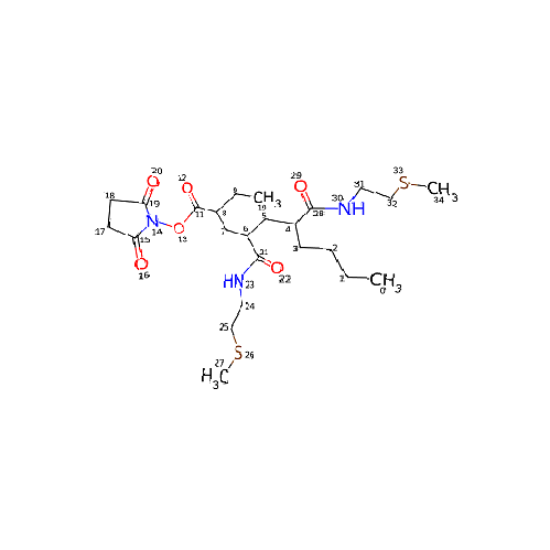 CCCCC(CC(CC(CC)C(=O)ON1C(=O)CCC1=O)C(=O)NCCSC)C(=O)NCCSC